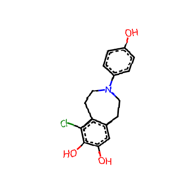 Oc1ccc(N2CCc3cc(O)c(O)c(Cl)c3CC2)cc1